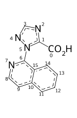 O=C(O)c1ncnn1-c1nccc2ccccc12